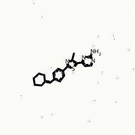 Cc1nc(-c2ccc(C=C3CCCCC3)cc2)sc1-c1ccnc(N)n1